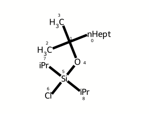 CCCCCCCC(C)(C)O[Si](Cl)(C(C)C)C(C)C